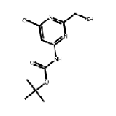 CC(C)(C)OC(=O)Nc1cc(Cl)nc(CS)n1